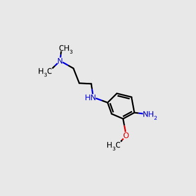 COc1cc(NCCCN(C)C)ccc1N